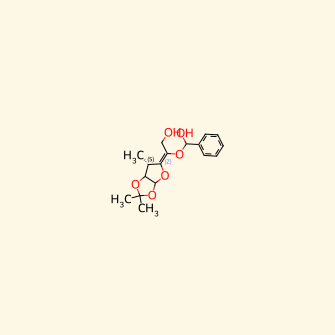 C[C@@H]1/C(=C(\CO)OC(O)c2ccccc2)OC2OC(C)(C)OC21